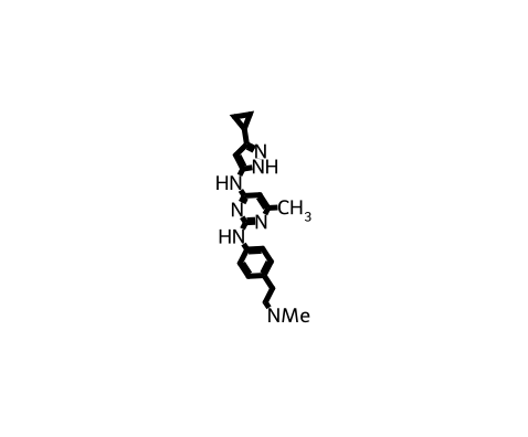 CNCCc1ccc(Nc2nc(C)cc(Nc3cc(C4CC4)n[nH]3)n2)cc1